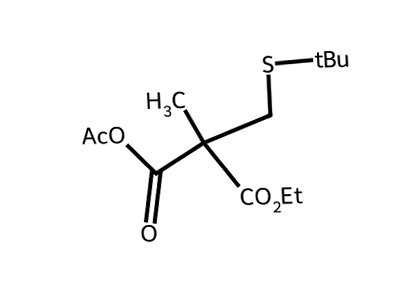 CCOC(=O)C(C)(CSC(C)(C)C)C(=O)OC(C)=O